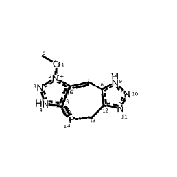 CO[n+]1n[nH]c2c1=Cc1[nH]nnc1CP=2